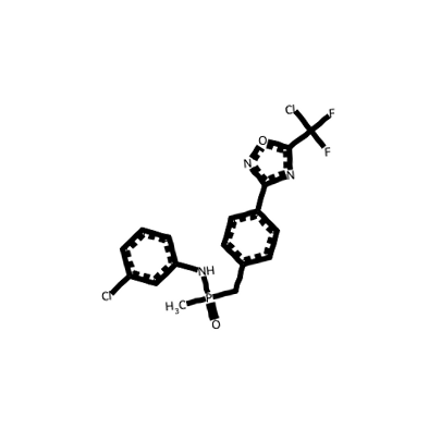 CP(=O)(Cc1ccc(-c2noc(C(F)(F)Cl)n2)cc1)Nc1cccc(Cl)c1